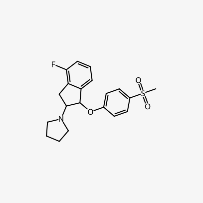 CS(=O)(=O)c1ccc(OC2c3cccc(F)c3CC2N2CCCC2)cc1